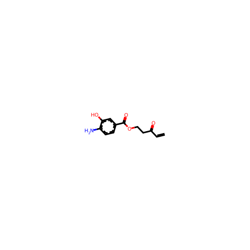 C=CC(=O)CCOC(=O)c1ccc(N)c(O)c1